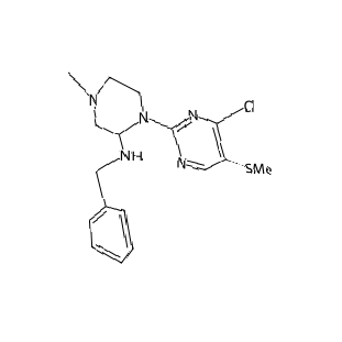 CSc1cnc(N2CCN(C)CC2NCc2ccccc2)nc1Cl